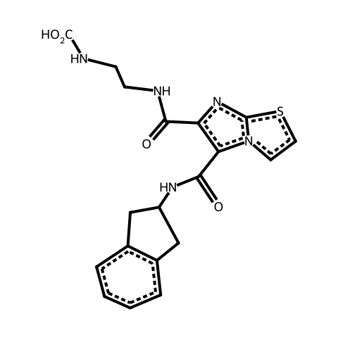 O=C(O)NCCNC(=O)c1nc2sccn2c1C(=O)NC1Cc2ccccc2C1